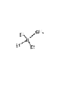 CC[B-]([SiH3])(CC)CC